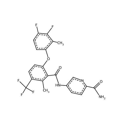 Cc1c(Oc2ccc(C(F)(F)F)c(C)c2C(=O)Nc2ccc(C(N)=O)nc2)ccc(F)c1F